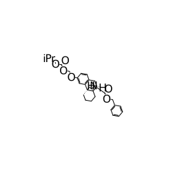 CC(C)OC(=O)OCOc1ccc2c(c1)[C@]13CCCC[C@@H]1[C@H](C2)N(C(=O)OCc1ccccc1)CC3